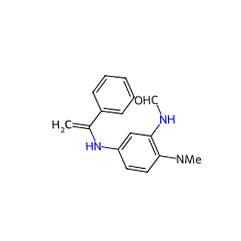 C=C(Nc1ccc(NC)c(NC=O)c1)c1ccccc1